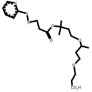 CC(CCOCCC(=O)O)OCCC(C)(C)OC(=O)CCSSc1ccccn1